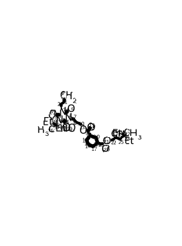 C=CCn1c(=O)n(CC(O)COC(=O)c2cccc(C(=O)OCC(O)CC(C)(CC)CC)c2)c(=O)n(C(C)(CC)CC)c1=O